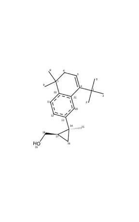 CC(C)(C)C1=CCC(C)(C)c2ccc([C@@]3(C)C[C@H]3CO)cc21